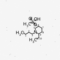 CCCCN1CCCCC1CC.CS(=O)(=O)O